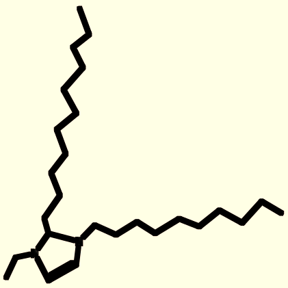 CCCCCCCCCCCC1N(CC)C=CN1CCCCCCCCCC